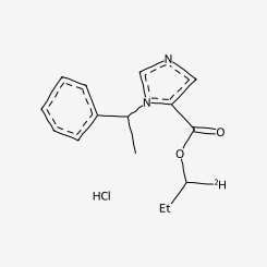 Cl.[2H]C(CC)OC(=O)c1cncn1C(C)c1ccccc1